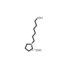 CCCCCCCCCCCCCCN1CCC[C@H]1[C]=O